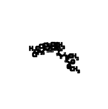 COC(=O)CN(C)C/C=C\CN(C)CC(C)(Cl)C=C(Cl)/C=C(\C)Cl